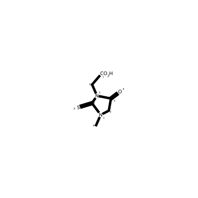 CN1CC(=O)N(CC(=O)O)C1=S